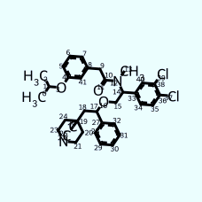 CC(C)Oc1cccc(CC(=O)N(C)C(COC(CC23CCN(CC2)CC3)c2ccccc2)c2ccc(Cl)c(Cl)c2)c1